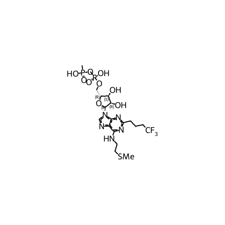 CSCCNc1nc(CCCC(F)(F)F)nc2c1ncn2[C@@H]1O[C@H](COP(=O)(O)OP(C)(=O)O)[C@@H](O)[C@H]1O